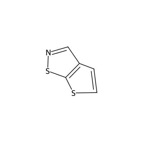 c1cc2cnsc2s1